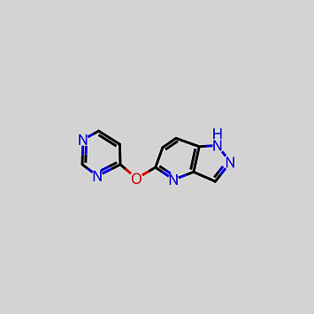 c1cc(Oc2ccc3[nH]ncc3n2)ncn1